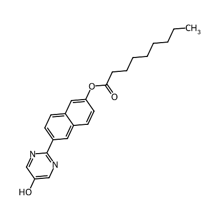 CCCCCCCCC(=O)Oc1ccc2cc(-c3ncc(O)cn3)ccc2c1